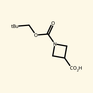 CC(C)(C)COC(=O)N1CC(C(=O)O)C1